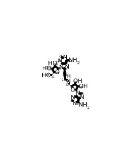 Nc1ncnc2c1ncn2[C@@H]1O[C@H](CNCC#Cc2nc3c(N)ncnc3n2[C@@H]2O[C@H](CO)C(O)C2O)C(O)C1O